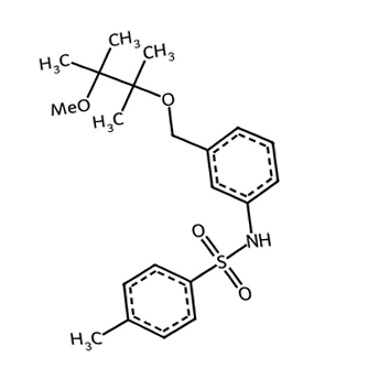 COC(C)(C)C(C)(C)OCc1cccc(NS(=O)(=O)c2ccc(C)cc2)c1